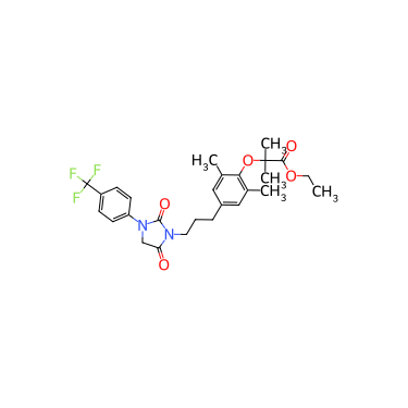 CCOC(=O)C(C)(C)Oc1c(C)cc(CCCN2C(=O)CN(c3ccc(C(F)(F)F)cc3)C2=O)cc1C